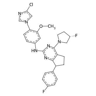 COc1cc(Nc2nc3c(c(N4CC[C@H](F)C4)n2)CCC3c2ccc(F)cc2)ccc1-n1cnc(Cl)c1